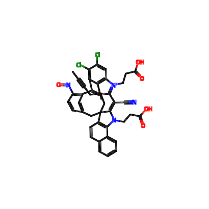 CC#CCC1(C)C(/C(C#N)=C2/N(CCC(=O)O)c3c(ccc4ccccc34)C23C/C=C(/C)c2cc(ccc2N=O)C3)=[N+](CCC(=O)O)c2cc(Cl)c(Cl)cc21